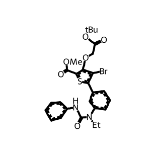 CCN(C(=O)Nc1ccccc1)c1cccc(-c2sc(C(=O)OC)c(OCC(=O)OC(C)(C)C)c2Br)c1